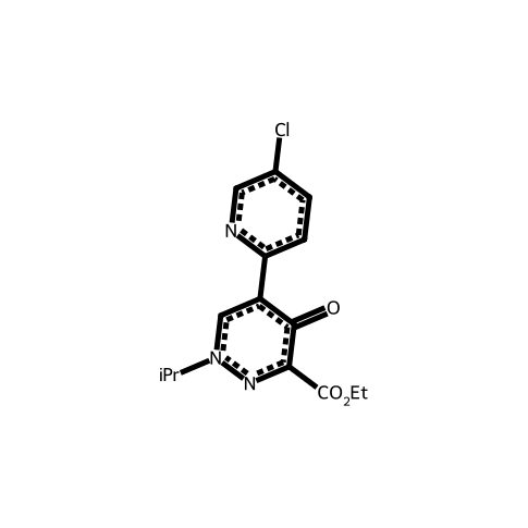 CCOC(=O)c1nn(C(C)C)cc(-c2ccc(Cl)cn2)c1=O